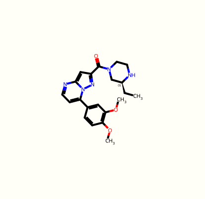 CC[C@H]1CN(C(=O)c2cc3nccc(-c4ccc(OC)c(OC)c4)n3n2)CCN1